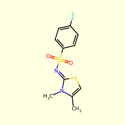 Cc1cs/c(=N\S(=O)(=O)c2ccc(F)cc2)n1C